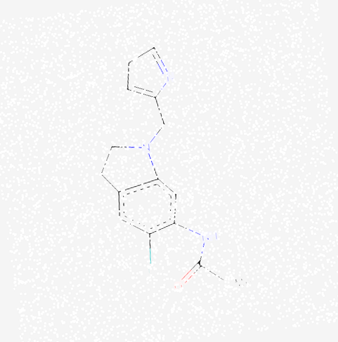 COC(=O)Nc1cc2c(cc1F)CCN2CC1=CCC=N1